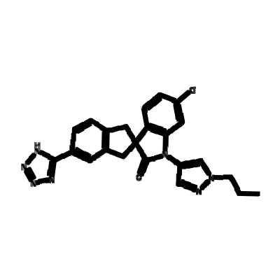 CCCn1cc(N2C(=O)C3(Cc4ccc(-c5nnn[nH]5)cc4C3)c3ccc(Cl)cc32)cn1